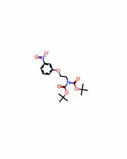 CC(C)(C)OC(=O)N(CCOc1cccc([N+](=O)[O-])c1)C(=O)OC(C)(C)C